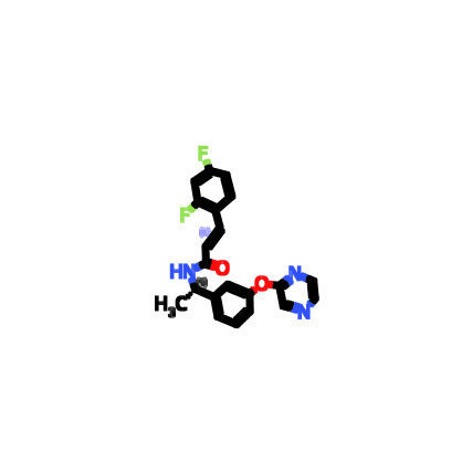 C[C@H](NC(=O)/C=C/c1ccc(F)cc1F)c1cccc(Oc2cnccn2)c1